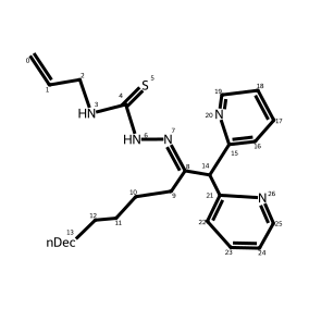 C=CCNC(=S)NN=C(CCCCCCCCCCCCCC)C(c1ccccn1)c1ccccn1